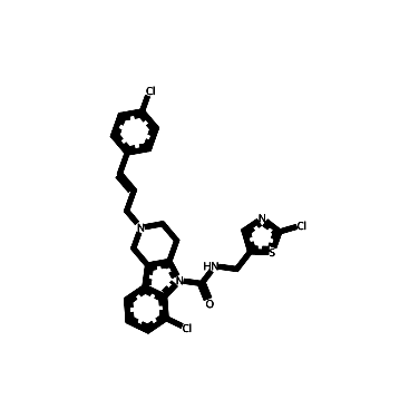 O=C(NCc1cnc(Cl)s1)n1c2c(c3cccc(Cl)c31)CN(CC=Cc1ccc(Cl)cc1)CC2